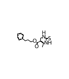 CC1=C(C(=O)OCCCc2ccccc2)CNC(=S)N1